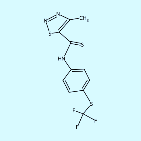 Cc1nnsc1C(=S)Nc1ccc(SC(F)(F)F)cc1